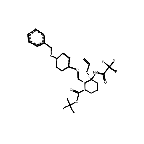 C=CC[C@]1(NC(=O)C(F)(F)F)CCCN(C(=O)OC(C)(C)C)[C@H]1COC1CCC(OCc2ccccc2)CC1